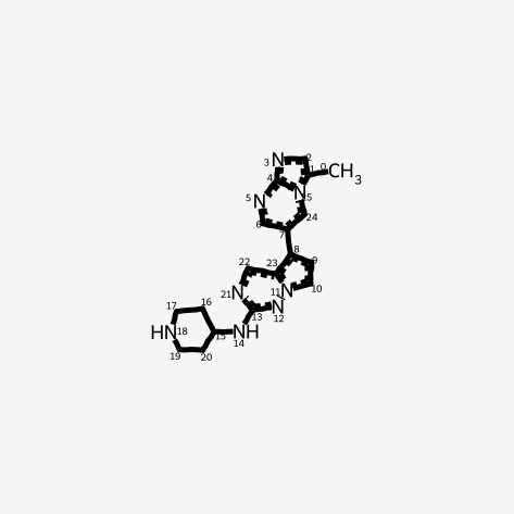 Cc1cnc2ncc(-c3ccn4nc(NC5CCNCC5)ncc34)cn12